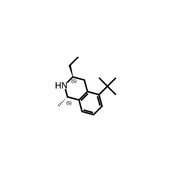 CC[C@H]1Cc2c(cccc2C(C)(C)C)[C@H](C)N1